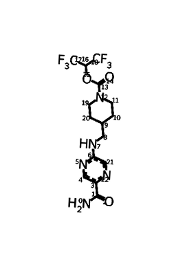 NC(=O)c1cnc(NCC2CCN(C(=O)OC(C(F)(F)F)C(F)(F)F)CC2)cn1